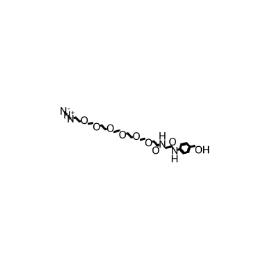 [N-]=[N+]=NCCOCCOCCOCCOCCOCCOCC(=O)NCC(=O)Nc1ccc(CO)cc1